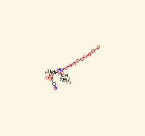 C=CC(C)CC(C)C(=O)CC(OCNCCOCCOCCOCCOCCOCCOCCOCCOCCC=O)/C(C)=C/C(C)C(=O)CC(CCC1CCC(N=O)CC1)OC=O